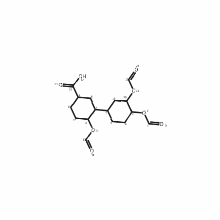 O=COC1CCC(C2CC(C(=O)O)CCC2OC=O)CC1OC=O